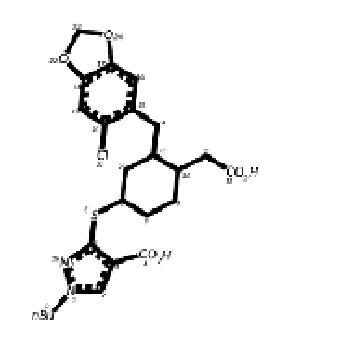 CCCCn1cc(C(=O)O)c(SC2CCC(CC(=O)O)C(Cc3cc4c(cc3Cl)OCO4)C2)n1